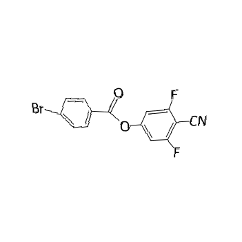 N#Cc1c(F)cc(OC(=O)c2ccc(Br)cc2)cc1F